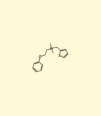 C[N+](C)(CCOc1ccccc1)Cc1cccs1